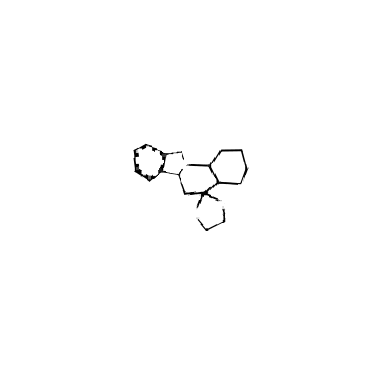 c1ccc2c(c1)CN1C2CC2(SCCS2)C2CCCCC21